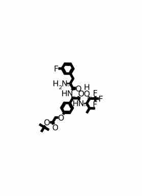 CC(C)[C@H](NC(=O)[C@@H](NC(=O)[C@@H](N)Cc1cccc(F)c1)c1ccc(OCC(=O)OC(C)(C)C)cc1)[C@H](O)C(F)(F)F